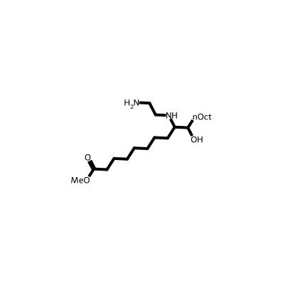 CCCCCCCCC(O)C(CCCCCCCC(=O)OC)NCCN